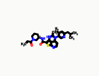 C=CC(=O)N1CCC[C@@H](NC(=O)c2sc3nccc4c3c2[nH]c(=C)n4-c2cnc(CC(C)C)cc2C)C1